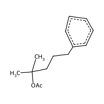 CC(=O)OC(C)(C)CCCc1ccccc1